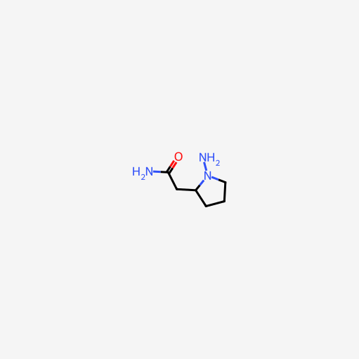 NC(=O)CC1CCCN1N